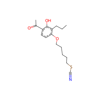 CCCc1c(OCCCCCSC#N)ccc(C(C)=O)c1O